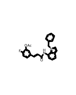 CC(=O)Oc1cc(/C=C/C(=O)Nc2cccc3ccn(Cc4ccccc4)c23)ccc1F